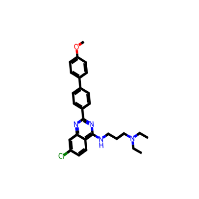 CCN(CC)CCCNc1nc(-c2ccc(-c3ccc(OC)cc3)cc2)nc2cc(Cl)ccc12